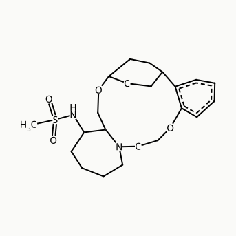 CS(=O)(=O)NC1CCCCN2CCOc3ccccc3C3CCC(CC3)OCC12